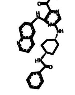 NC(=O)c1ncc(N[C@H]2CC[C@H](NC(=O)c3ccccc3)CC2)nc1Nc1ccc2ncccc2c1